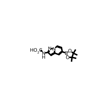 CC1(C)OB(c2ccn3nc(NC(=O)O)cc3c2)OC1(C)C